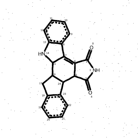 O=C1NC(=O)C2C1=C1c3ccccc3NC1C1Cc3ccccc3C21